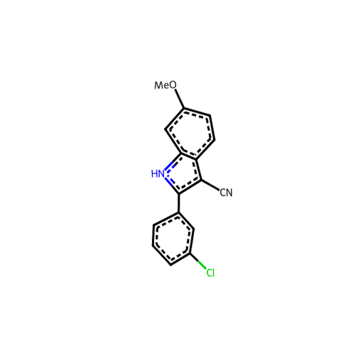 COc1ccc2c(C#N)c(-c3cccc(Cl)c3)[nH]c2c1